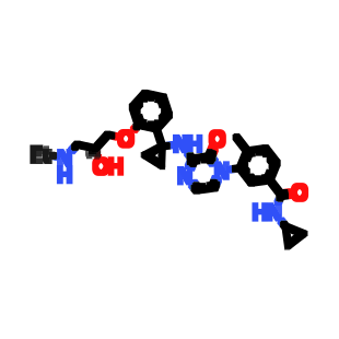 CCNC[C@@H](O)COc1ccccc1C1(Nc2nccn(-c3cc(C(=O)NC4CC4)ccc3C)c2=O)CC1